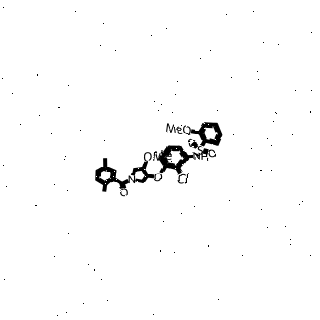 COc1ccccc1S(=O)(=O)Nc1cccc(OC2CN(C(=O)c3cc(C)ccc3C)CC2OC)c1Cl